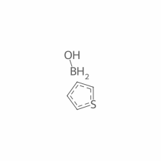 BO.c1ccsc1